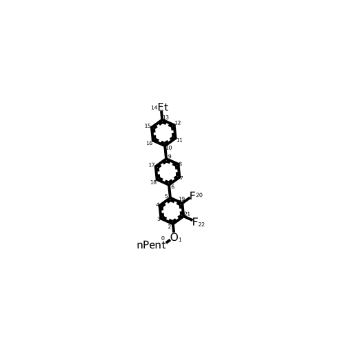 CCCCCOc1ccc(-c2ccc(-c3ccc(CC)cc3)cc2)c(F)c1F